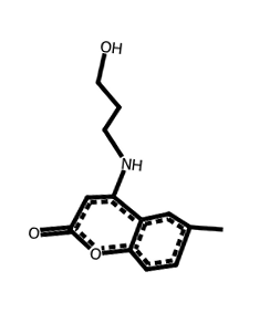 Cc1ccc2oc(=O)cc(NCCCO)c2c1